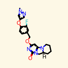 Cn1cc(Oc2ccc(COc3cc4n(c(=O)n3)C[C@@H]3CCCCN43)cc2F)cn1